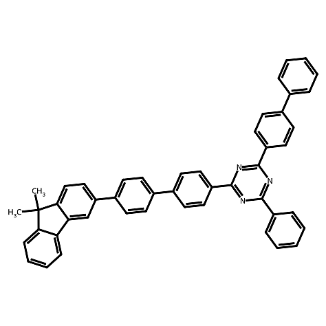 CC1(C)c2ccccc2-c2cc(-c3ccc(-c4ccc(-c5nc(-c6ccccc6)nc(-c6ccc(-c7ccccc7)cc6)n5)cc4)cc3)ccc21